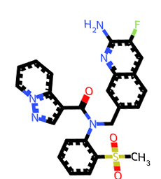 CS(=O)(=O)c1ccccc1N(Cc1ccc2cc(F)c(N)nc2c1)C(=O)c1cnn2ccccc12